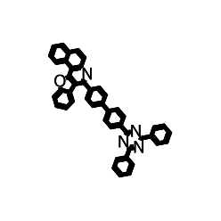 c1ccc(-c2nc(-c3ccccc3)nc(-c3ccc(-c4ccc(-c5nc6ccc7ccccc7c6c6oc7ccccc7c56)cc4)cc3)n2)cc1